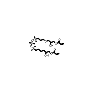 C=CC(=O)OCC(O)CCCC[Si](C)(C)O[Si](C)(C)O[Si](C)(C)CCCOCC(O)COC(=O)C=C